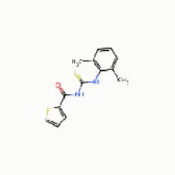 Cc1cccc(C)c1NC(=S)NC(=O)c1cccs1